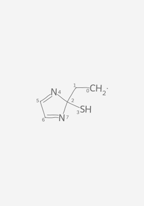 [CH2]CC1(S)N=CC=N1